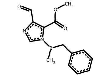 COC(=O)c1c(C=O)ncn1B(C)Cc1ccccc1